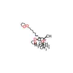 C#C[C@H](Br)C[C@@H]1[C@@H](/C=C/CCCCCCOC2CCCCO2)[C@H](OC2CCCCO2)C[C@@H]1O[Si](C)(C)C(C)(C)C